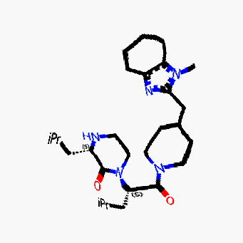 CC(C)C[C@@H]1NCCN([C@@H](CC(C)C)C(=O)N2CCC(Cc3nc4c(n3C)CCCC4)CC2)C1=O